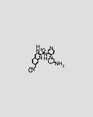 Nc1cc2ccc(CN3CCCC3)cc2nc1C(=O)Nc1cnccc1N1CCCC(N)C1